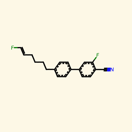 N#Cc1ccc(-c2ccc(CCCCC=CF)cc2)cc1F